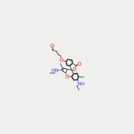 CCNC1=CC2Oc3cc(NCC)c(C)cc3C3(OC(=O)c4ccc(OCCCC=O)cc43)C2C=C1C